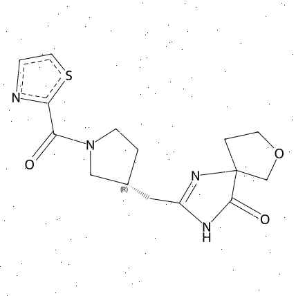 O=C(c1nccs1)N1CC[C@H](CC2=NC3(CCOC3)C(=O)N2)C1